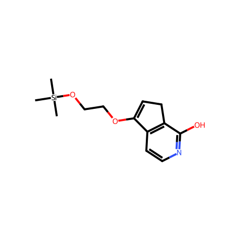 C[Si](C)(C)OCCOC1=CCc2c1ccnc2O